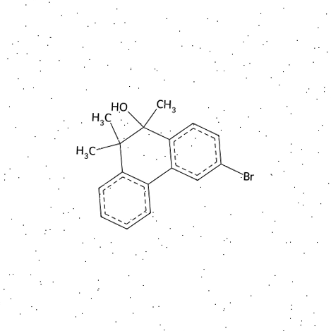 CC1(C)c2ccccc2-c2cc(Br)ccc2C1(C)O